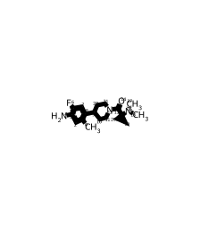 Cc1cc(N)c(F)cc1C1CCN(C(=O)C2(N(C)C)CC2)CC1